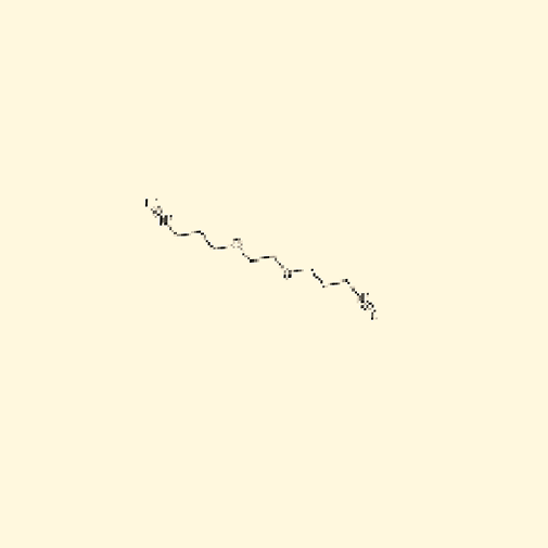 [C-]#[N+]CCCOCCOCCC[N+]#[C-]